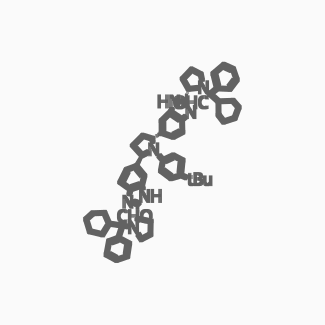 CC(C)(C)c1ccc(N2[C@@H](c3ccc4nc([C@@H]5CCCN5C(C=O)(c5ccccc5)C5CCCCC5)[nH]c4c3)CC[C@@H]2c2ccc3nc([C@@H]4CCCN4[C@@](C=O)(c4ccccc4)C4CCCCC4)[nH]c3c2)cc1